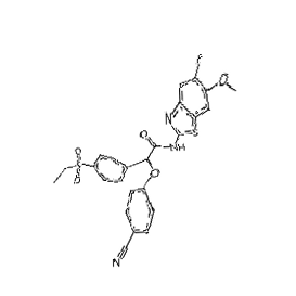 CCS(=O)(=O)c1ccc(C(Oc2ccc(C#N)cc2)C(=O)Nc2nc3cc(F)c(OC)cc3s2)cc1